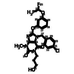 Cn1c(=O)n(CCCO)c(=O)c2c1nc(Oc1cccc(OC(F)P)c1)n2Cc1ccc(Cl)cc1